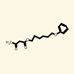 CC(=O)CC(=O)OCCCCCCOc1ccccc1